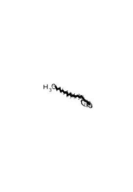 CCCCCCCCCCCCCCCCC(Cl)[C]=O